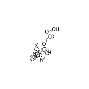 CC1(C)C2CN(C(=O)N3CC4CC(C3)N4c3ccc(-c4cc(OCCC5COC6C(O)COC56)cn5ncc(C#N)c45)cn3)CC21